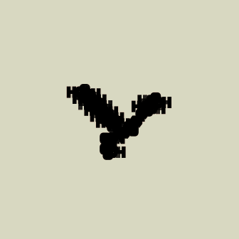 CCc1c2c(nc3ccc(OC(=O)N4CCC(N5CCCCC5)CC4)cc13)-c1cc3c(c(=O)n1C2)COC(=O)[C@]3(O)CC.O=S(=O)(O)O.O=S(=O)(O)O.O=S(=O)(O)O.O=S(=O)(O)O.O=S(=O)(O)O.O=S(=O)(O)O.O=S(=O)(O)O.O=S(=O)(O)O